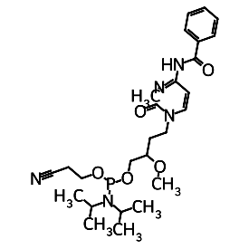 C/N=C(\C=C/N(C=O)CCC(COP(OCCC#N)N(C(C)C)C(C)C)OC)NC(=O)c1ccccc1